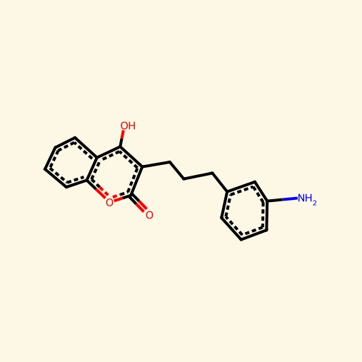 Nc1cccc(CCCc2c(O)c3ccccc3oc2=O)c1